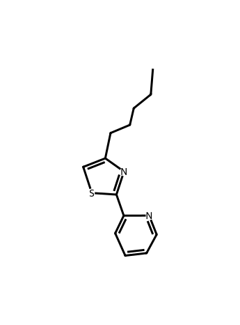 CCCCCc1csc(-c2ccccn2)n1